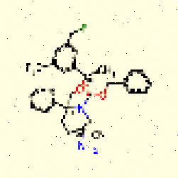 C[C@@H](OC[C@@]1(c2ccccc2)CC[C@@](N)(C#N)CN1C(=O)OCc1ccccc1)c1cc(CF)cc(C(F)(F)F)c1